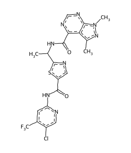 Cc1nn(C)c2ncnc(C(=O)NC(C)c3ncc(C(=O)Nc4cc(C(F)(F)F)c(Cl)cn4)s3)c12